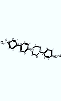 COc1ccc(N2CCN(c3ccc(-c4ccc(C(=O)O)cc4)cc3)CC2)cc1